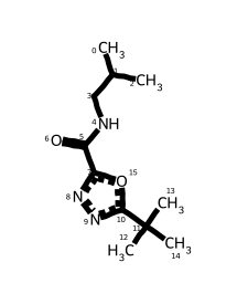 CC(C)CNC(=O)c1nnc(C(C)(C)C)o1